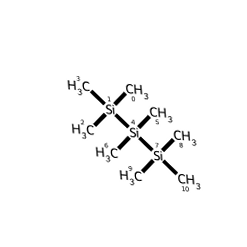 C[Si](C)(C)[Si](C)(C)[Si](C)(C)C